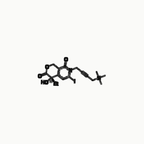 CC[C@@]1(O)C(=O)OCc2c1cc(I)n(CC#CC[Si](C)(C)C)c2=O